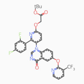 CC(C)(C)OC(=O)COc1ccc(-n2cnc(=O)c3cc(Oc4ncccc4C(F)(F)F)ccc32)c(-c2ccc(F)cc2F)n1